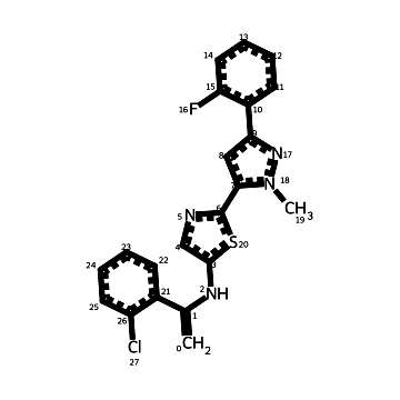 C=C(Nc1cnc(-c2cc(-c3ccccc3F)nn2C)s1)c1ccccc1Cl